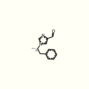 C[C@@H](Cc1ccccc1)n1cnc(C=O)c1